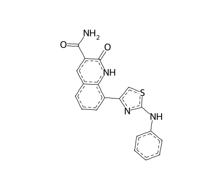 NC(=O)c1cc2cccc(-c3csc(Nc4ccccc4)n3)c2[nH]c1=O